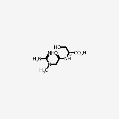 CN(CC(=O)N[C@@H](CO)C(=O)O)C(=N)N